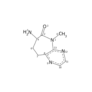 CN1C(=O)C(N)CCc2nccnc21